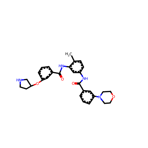 Cc1ccc(NC(=O)c2cccc(N3CCOCC3)c2)cc1NC(=O)c1cccc(OC2CCNC2)c1